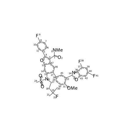 CNC(=O)c1c(-c2ccc(F)cc2)oc2cc(N(CCC(C)(C)F)S(C)(=O)=O)c(-c3ccc(OC)c(-c4nc5c(F)cc(F)cc5o4)c3)cc12